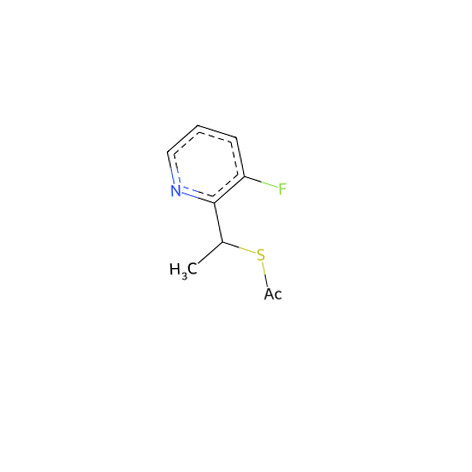 CC(=O)SC(C)c1ncccc1F